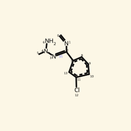 C=N/C(=N\N(C)N)c1cccc(Cl)c1